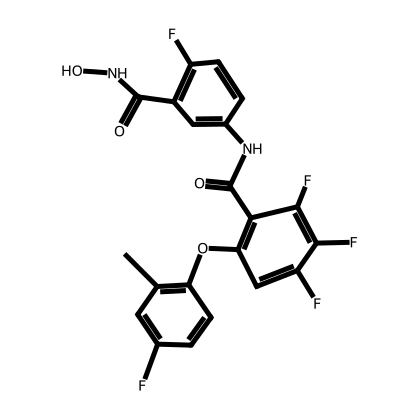 Cc1cc(F)ccc1Oc1cc(F)c(F)c(F)c1C(=O)Nc1ccc(F)c(C(=O)NO)c1